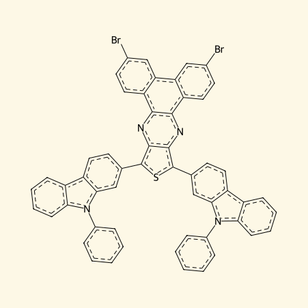 Brc1ccc2c(c1)c1cc(Br)ccc1c1nc3c(-c4ccc5c6ccccc6n(-c6ccccc6)c5c4)sc(-c4ccc5c6ccccc6n(-c6ccccc6)c5c4)c3nc21